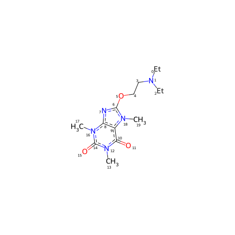 CCN(CC)CCOc1nc2c(c(=O)n(C)c(=O)n2C)n1C